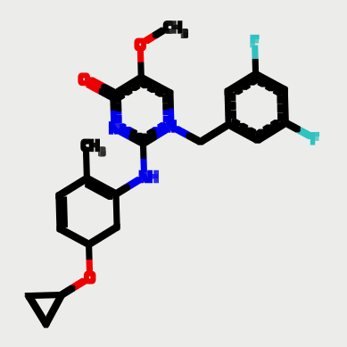 COc1cn(Cc2cc(F)cc(F)c2)c(NC2=C(C)C=CC(OC3CC3)C2)nc1=O